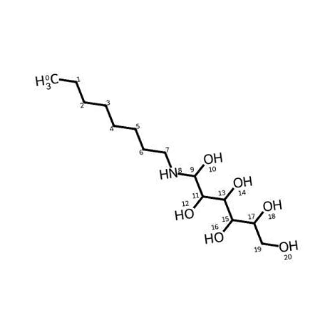 CCCCCCCCNC(O)C(O)C(O)C(O)C(O)CO